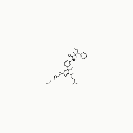 C=CC(c1ccccc1)C(C)(C)C(=O)Nc1cccc([N+](CC)(CCOCOCCCC)C(=O)C(C)CCC(C)C)c1